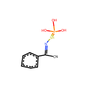 N#CC(=N[SH]=P(O)(O)O)c1ccccc1